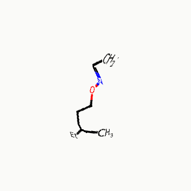 [CH2]C=NOCCC(C)CC